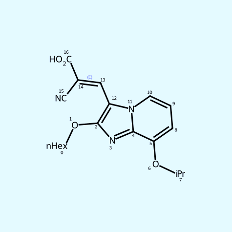 CCCCCCOc1nc2c(OC(C)C)cccn2c1/C=C(\C#N)C(=O)O